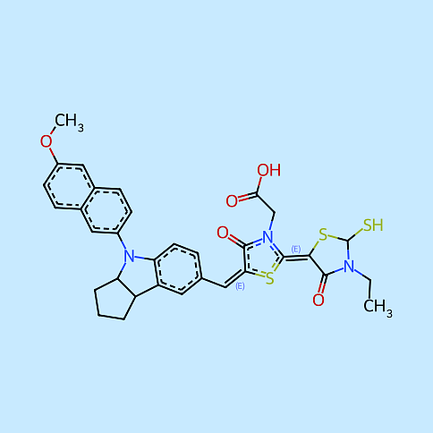 CCN1C(=O)/C(=c2\s/c(=C/c3ccc4c(c3)C3CCCC3N4c3ccc4cc(OC)ccc4c3)c(=O)n2CC(=O)O)SC1S